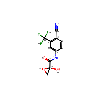 N#Cc1ccc(NC(=O)[C@]2(O)CO2)cc1C(F)(F)F